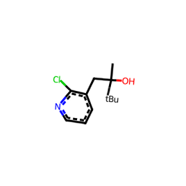 CC(C)(C)C(C)(O)Cc1cccnc1Cl